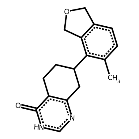 Cc1ccc2c(c1C1CCc3c(nc[nH]c3=O)C1)COC2